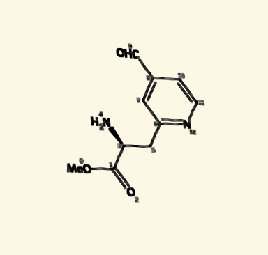 COC(=O)[C@@H](N)Cc1cc(C=O)ccn1